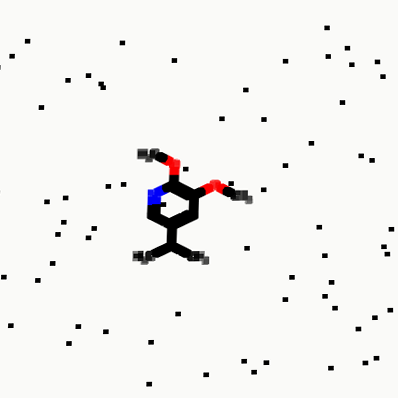 COc1cc(C(C)C)cnc1OC